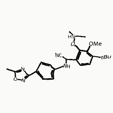 COc1c(C(C)(C)C)ccc(C(C#N)Nc2ccc(-c3noc(C)n3)cc2)c1O[SiH](C)C